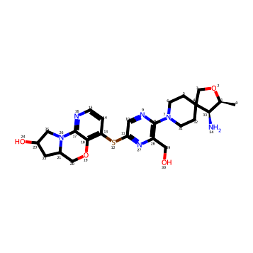 C[C@@H]1OCC2(CCN(c3ncc(Sc4ccnc5c4OCC4CC(O)CN54)nc3CO)CC2)[C@@H]1N